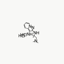 CN(C)CCNc1nn2ccccc2c1N.Cl.Cl